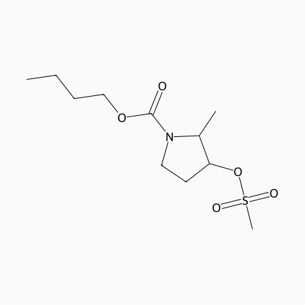 CCCCOC(=O)N1CCC(OS(C)(=O)=O)C1C